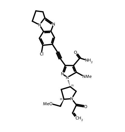 C=CC(=O)N1C[C@@H](n2nc(C#Cc3cc4nc5n(c4cc3Cl)CCC5)c(C(N)=O)c2NC)C[C@@H]1COC